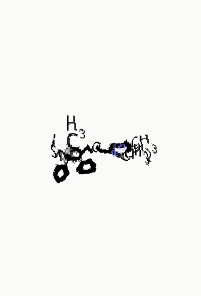 C=C(C)/C=C\C(=C/C)COCCC1[C@@H](C)N(SI)[C@H](c2ccccc2)[C@H]1c1ccccc1